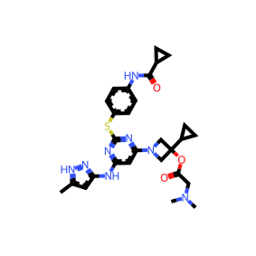 Cc1cc(Nc2cc(N3CC(OC(=O)CN(C)C)(C4CC4)C3)nc(Sc3ccc(NC(=O)C4CC4)cc3)n2)n[nH]1